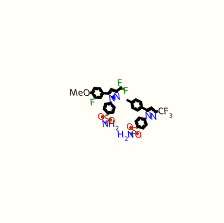 COc1ccc(-c2cc(C(F)F)nn2-c2ccc(S(N)(=O)=O)cc2)cc1F.Cc1ccc(-c2cc(C(F)(F)F)nn2-c2ccc(S(N)(=O)=O)cc2)cc1